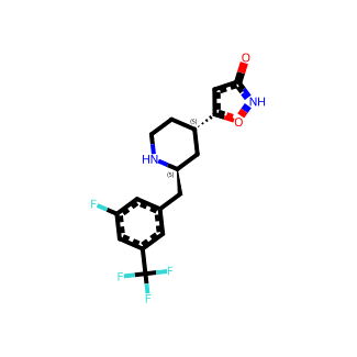 O=c1cc([C@H]2CCN[C@H](Cc3cc(F)cc(C(F)(F)F)c3)C2)o[nH]1